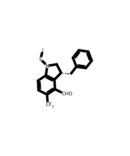 O=Cc1c(C(F)(F)F)ccc2c1[C@@H](Cc1ccccc1)CN2SI